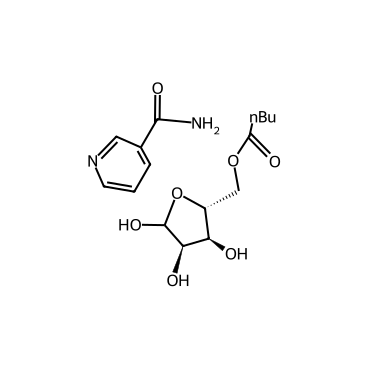 CCCCC(=O)OC[C@H]1OC(O)[C@H](O)[C@@H]1O.NC(=O)c1cccnc1